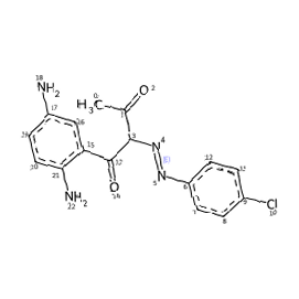 CC(=O)C(/N=N/c1ccc(Cl)cc1)C(=O)c1cc(N)ccc1N